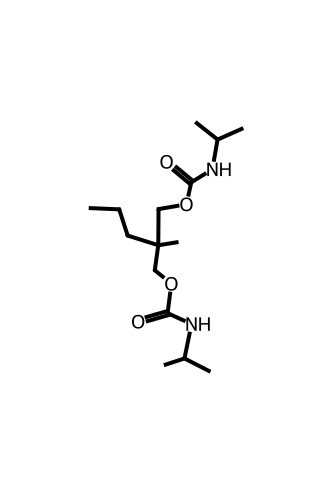 CCCC(C)(COC(=O)NC(C)C)COC(=O)NC(C)C